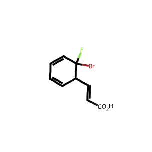 O=C(O)/C=C/C1C=CC=CC1(F)Br